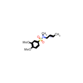 C/C=C/CN(C)S(=O)(=O)c1ccc(OC)c(OC)c1